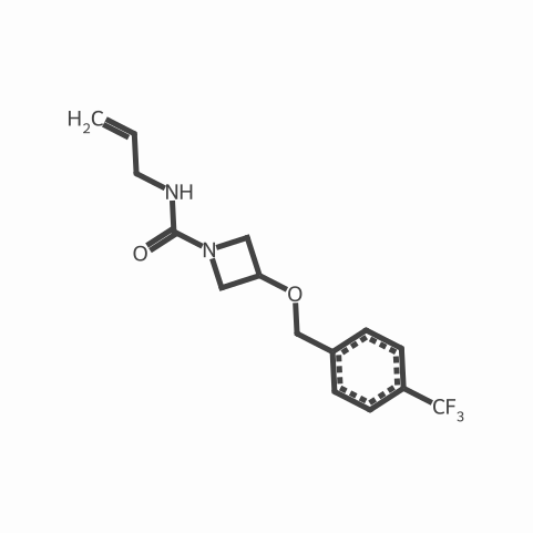 C=CCNC(=O)N1CC(OCc2ccc(C(F)(F)F)cc2)C1